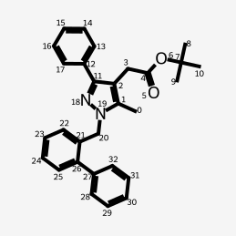 Cc1c(CC(=O)OC(C)(C)C)c(-c2ccccc2)nn1Cc1ccccc1-c1ccccc1